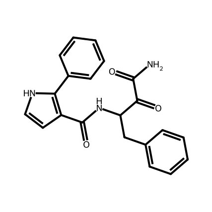 NC(=O)C(=O)C(Cc1ccccc1)NC(=O)c1cc[nH]c1-c1ccccc1